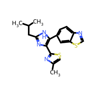 Cc1csc(-c2nc(CC(C)C)[nH]c2-c2ccc3ncsc3c2)n1